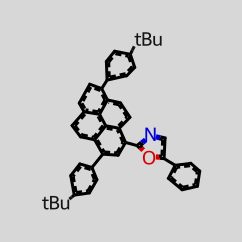 CC(C)(C)c1ccc(-c2ccc3ccc4c(-c5ccc(C(C)(C)C)cc5)cc(-c5ncc(-c6ccccc6)o5)c5ccc2c3c45)cc1